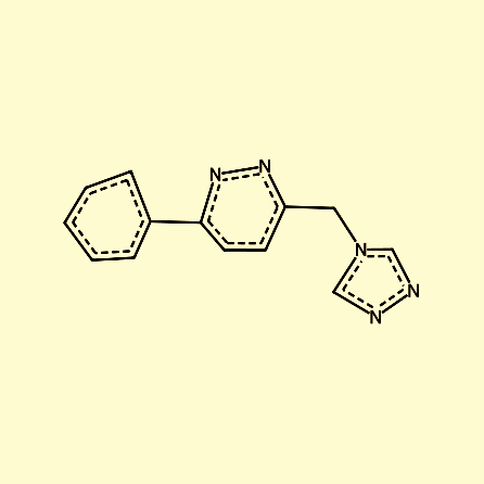 c1ccc(-c2ccc(Cn3cnnc3)nn2)cc1